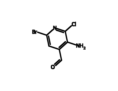 Nc1c(C=O)cc(Br)nc1Cl